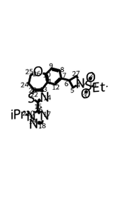 [CH2][CH]S(=O)(=O)N1CC(c2ccc3c(c2)-c2nc(-c4ncnn4C(C)C)sc2CCO3)C1